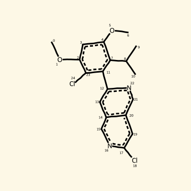 COc1cc(OC)c(C(C)C)c(-c2cc3cnc(Cl)cc3cn2)c1Cl